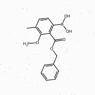 Cc1ccc(B(O)O)c(C(=O)OCc2ccccc2)c1OP